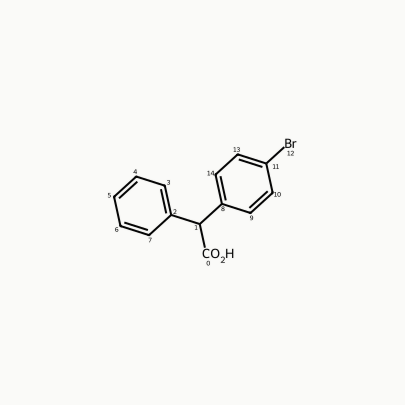 O=C(O)C(c1ccccc1)c1ccc(Br)cc1